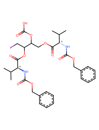 CC(C)[C@H](NC(=O)OCc1ccccc1)C(=O)OCC(OC(=O)O)C(CI)OC(=O)[C@@H](NC(=O)OCc1ccccc1)C(C)C